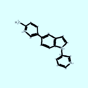 Cc1ccc(-c2ccc3c(ccn3-c3cccnc3)c2)cn1